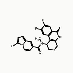 CN(C(=O)c1ccn2c(Cl)ccc2c1)C1COCc2[nH]c(=O)c3cc(F)c(F)cc3c21